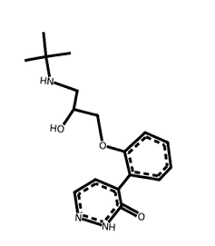 CC(C)(C)NCC(O)COc1ccccc1-c1ccn[nH]c1=O